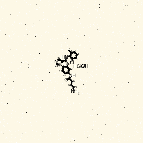 Cc1cccc(Cl)c1Nc1nc2cc(NC(=O)CCCN)ccc2n2cncc12.Cl.Cl